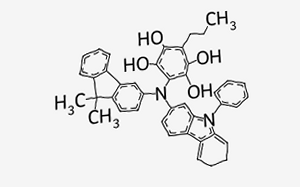 CCCc1c(O)c(O)c(N(c2ccc3c(c2)-c2ccccc2C3(C)C)c2ccc3c4c(n(-c5ccccc5)c3c2)=CCCC=4)c(O)c1O